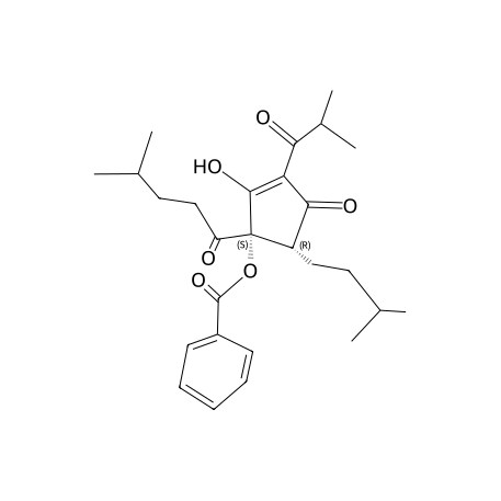 CC(C)CCC(=O)[C@@]1(OC(=O)c2ccccc2)C(O)=C(C(=O)C(C)C)C(=O)[C@@H]1CCC(C)C